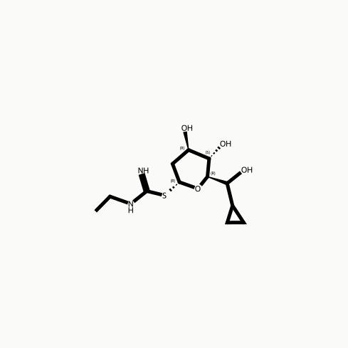 CCNC(=N)S[C@@H]1C[C@@H](O)[C@H](O)[C@@H](C(O)C2CC2)O1